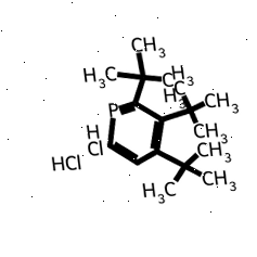 CC(C)(C)c1ccpc(C(C)(C)C)c1C(C)(C)C.Cl.Cl